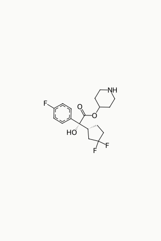 O=C(OC1CCNCC1)[C@](O)(c1ccc(F)cc1)[C@@H]1CCC(F)(F)C1